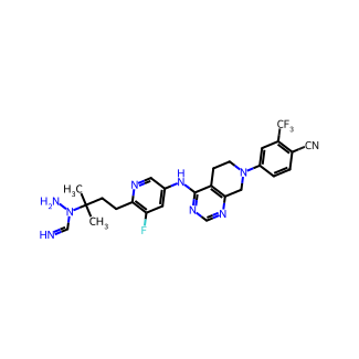 CC(C)(CCc1ncc(Nc2ncnc3c2CCN(c2ccc(C#N)c(C(F)(F)F)c2)C3)cc1F)N(N)C=N